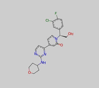 O=c1cc(-c2ccnc(NC3CCOCC3)n2)ccn1[C@H](CO)c1ccc(F)c(Cl)c1